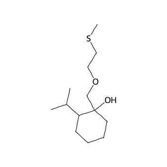 CSCCOCC1(O)CCCCC1C(C)C